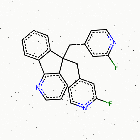 Fc1cc(CC2(Cc3ccnc(F)c3)c3ccccc3-c3ncccc32)ccn1